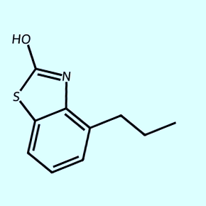 CCCc1cccc2sc(O)nc12